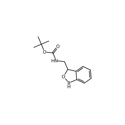 CC(C)(C)OC(=O)NCC1OBc2ccccc21